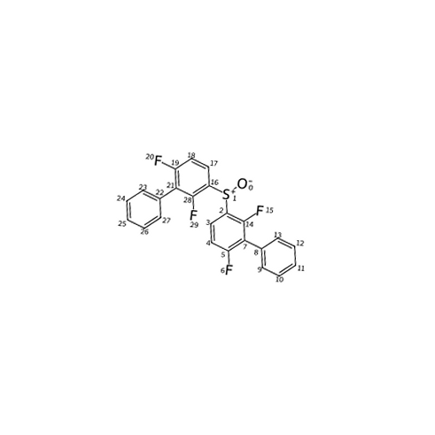 [O-][S+](c1ccc(F)c(-c2ccccc2)c1F)c1ccc(F)c(-c2ccccc2)c1F